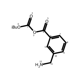 CC(C)COC(=O)OC(=O)c1cccc(CN)c1